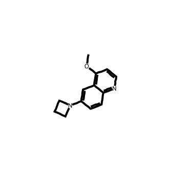 COc1ccnc2ccc(N3CCC3)cc12